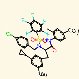 Cc1cc(C(=O)O)ccc1NC(=O)C(Cc1cc(C2CC2)cc(C(C)(C)C)c1)N(Cc1ccc(Cl)cc1)S(=O)(=O)c1c(F)c(F)c(F)c(F)c1F